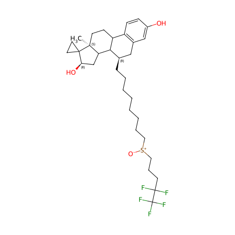 C[C@]12CCC3c4ccc(O)cc4C[C@@H](CCCCCCCC[S+]([O-])CCCC(F)(F)C(F)(F)F)C3C1C[C@@H](O)C21CC1